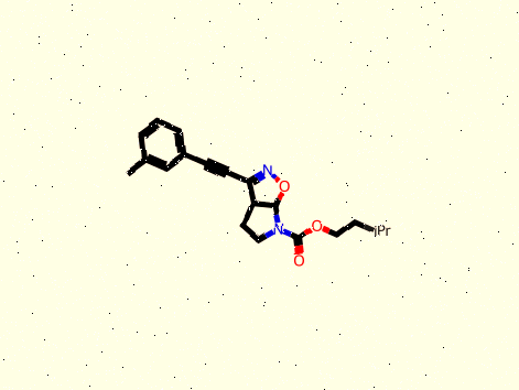 Cc1cccc(C#CC2=NOC3C2CCN3C(=O)OCCC(C)C)c1